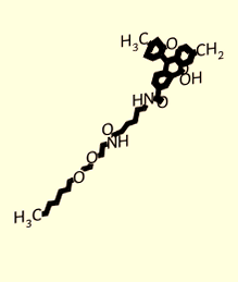 C=c1ccc2c(c1)Oc1cc(C)ccc1C=2c1ccc(C(=O)NCCCCCC(=O)NCCOCCOCCCCCCC)cc1C(=O)O